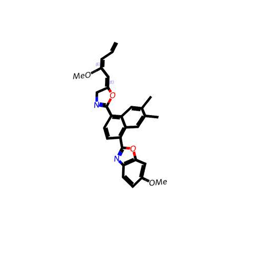 C=C/C=C(\C=C1/CN=C(c2ccc(-c3nc4ccc(OC)cc4o3)c3cc(C)c(C)cc23)O1)OC